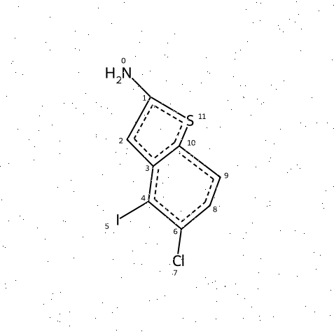 Nc1cc2c(I)c(Cl)ccc2s1